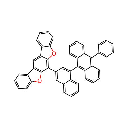 c1ccc(-c2c3ccccc3c(-c3cc(-c4c5oc6ccccc6c5cc5c4oc4ccccc45)cc4ccccc34)c3ccccc23)cc1